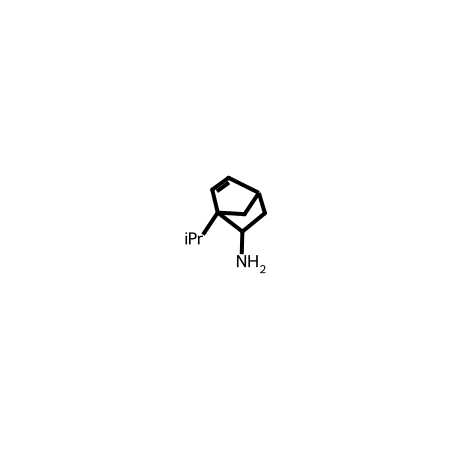 CC(C)C12C=CC(CC1N)C2